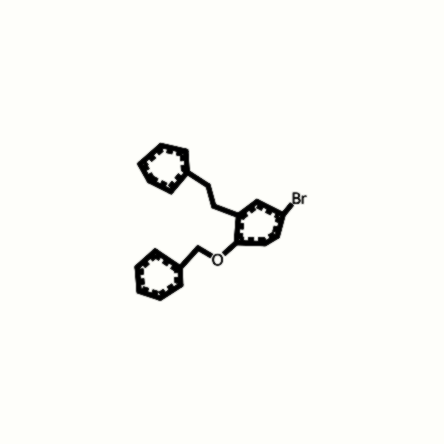 Brc1ccc(OCc2ccccc2)c(CCc2ccccc2)c1